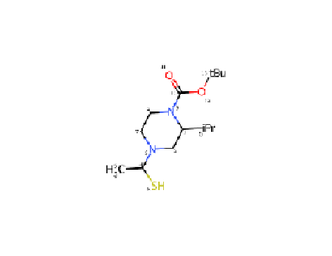 CC(C)C1CN(C(C)S)CCN1C(=O)OC(C)(C)C